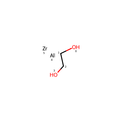 OCCO.[Al].[Zr]